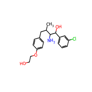 CC(Cc1ccc(OCCO)cc1)C(N)C(O)c1cccc(Cl)c1